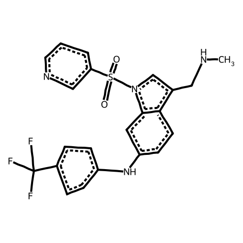 CNCc1cn(S(=O)(=O)c2cccnc2)c2cc(Nc3ccc(C(F)(F)F)cc3)ccc12